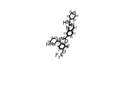 O=C(N[C@@H](c1ccc(OC(F)(F)F)c(F)c1)[C@H]1CCCNC1)c1ccc2cnc(NC3CCOCC3)nc2c1